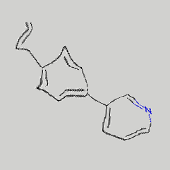 C=Cc1ccc(-c2cccnc2)cc1